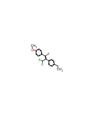 CCc1ccc(C(=C(F)c2ccc(OC)cc2)C(F)F)cc1